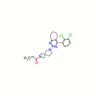 C=CC(=O)N1CC2(CCN(c3nc4c(c(-c5cccc(Cl)c5Cl)n3)CCCC4)C2)C1